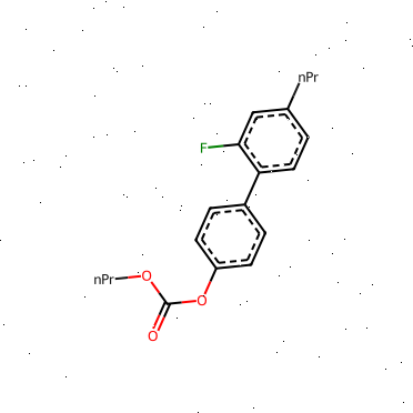 CCCOC(=O)Oc1ccc(-c2ccc(CCC)cc2F)cc1